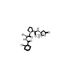 CC(C)[C@H](NC(=O)c1ccccc1Cl)C(=O)N1CCC[C@H]1C(=O)N[C@H]1CC(=O)O[C@@H]1O